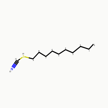 [CH2]CCCCCCCCCSC#N